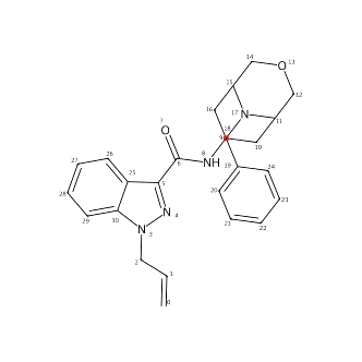 C=CCn1nc(C(=O)NC2CC3COCC(C2)N3Cc2ccccc2)c2ccccc21